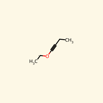 C[CH]OC#CCC